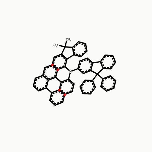 CC1(C)c2ccccc2-c2c(N(c3ccc4c(c3)C(c3ccccc3)(c3ccccc3)c3ccccc3-4)c3ccccc3-c3cccc4cccc(-c5ccccc5)c34)cccc21